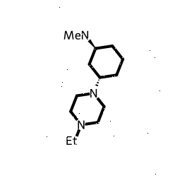 CCN1CCN([C@H]2CCC[C@H](NC)C2)CC1